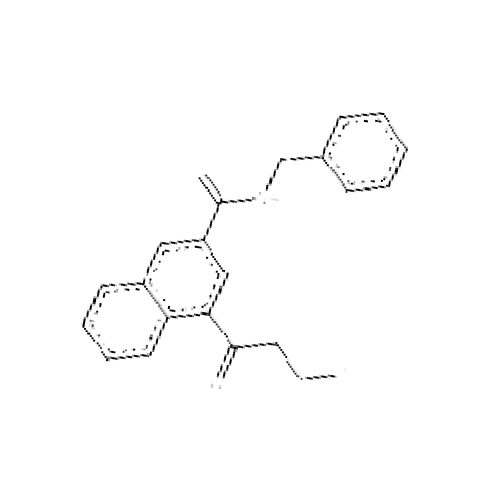 CCCC(=O)c1cc(C(=O)N[CH]c2ccccc2)cc2ccccc12